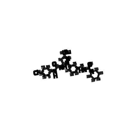 CC(C)(C)c1cc(NC(=O)Nc2ccc(Cl)cc2)n(-c2cccc(CNC(=O)N3CCCCC3)c2)n1